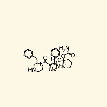 C[C@]1(OC(N)=O)CCCC[C@@H]1n1cnc(C(=O)N2CCNCC2Cc2ccccc2)c1-c1ccccc1